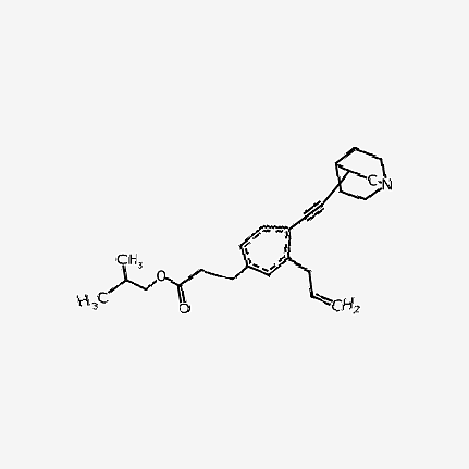 C=CCc1cc(CCC(=O)OCC(C)C)ccc1C#CC1CN2CCC1CC2